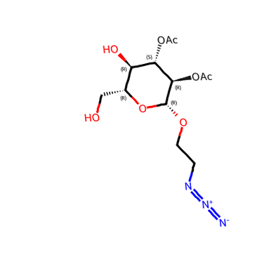 CC(=O)O[C@H]1[C@H](OCCN=[N+]=[N-])O[C@H](CO)[C@@H](O)[C@@H]1OC(C)=O